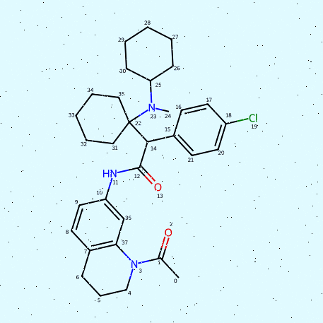 CC(=O)N1CCCc2ccc(NC(=O)C(c3ccc(Cl)cc3)C3(N(C)C4CCCCC4)CCCCC3)cc21